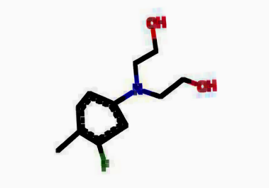 Cc1ccc(N(CCO)CCO)cc1F